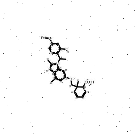 CCOc1cnc(C(C)n2c(C)nc3c(C)cc(OCC4(C)C=CC=CC4C(=O)O)cc32)c(Cl)c1